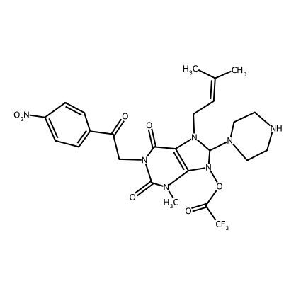 CC(C)=CCN1c2c(n(C)c(=O)n(CC(=O)c3ccc([N+](=O)[O-])cc3)c2=O)N(OC(=O)C(F)(F)F)C1N1CCNCC1